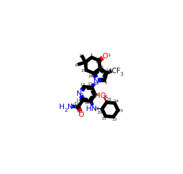 CC1(C)CC(=O)c2c(C(F)(F)F)cn(-c3cnc(C(N)=O)c(N[C@H]4CCCC[C@@H]4O)c3)c2C1